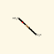 O=C(O)CCCCCCCCCCCCCSSSSSCCCCCCCCCCCCCC(=O)O